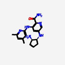 Cc1cc(C)nc(Nc2cc(N[C@@H]3CCC[C@@H]3N)cnc2C(N)=O)c1